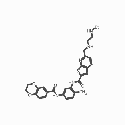 CCNCCNCc1ccc2cc(C(=O)Nc3cc(NC(=O)c4ccc5c(c4)OCCO5)ccc3C)sc2n1